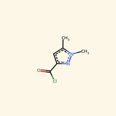 Cc1cc(C(=O)Cl)nn1C